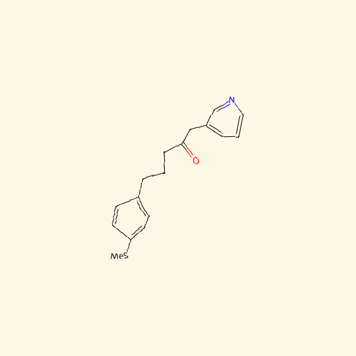 CSc1ccc(CCCC(=O)Cc2cccnc2)cc1